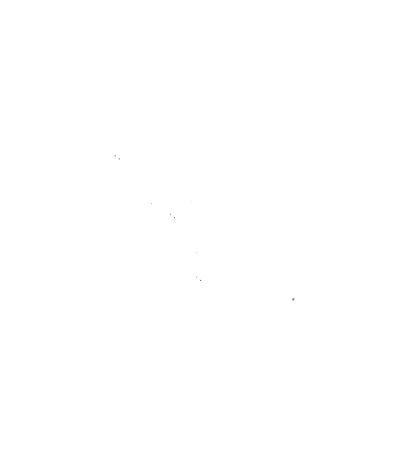 Nc1cccc2c1C(=O)N(C1CCC(=O)N(COP(=O)(O)O)C1=O)C2=O